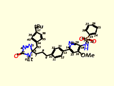 CCN1C(=O)N=NC1(CCCc1ccc(-c2cc(OC)c(NS(=O)(=O)c3ccccc3)cn2)cc1)Cc1ccc(C(C)(C)C)cc1